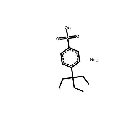 CCC(CC)(CC)c1ccc(S(=O)(=O)O)cc1.N